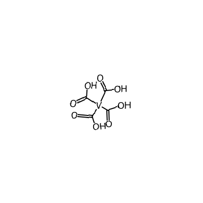 O=[C](O)[V]([C](=O)O)([C](=O)O)[C](=O)O